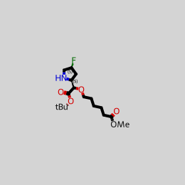 COC(=O)CCCCCOC(C(=O)OC(C)(C)C)[C@@H]1C[C@H](F)CN1